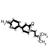 CN(C)CCn1ccc(-c2ccc(N)nc2)cc1=O